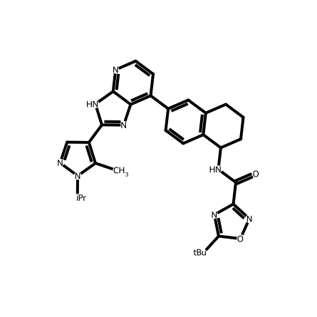 Cc1c(-c2nc3c(-c4ccc5c(c4)CCCC5NC(=O)c4noc(C(C)(C)C)n4)ccnc3[nH]2)cnn1C(C)C